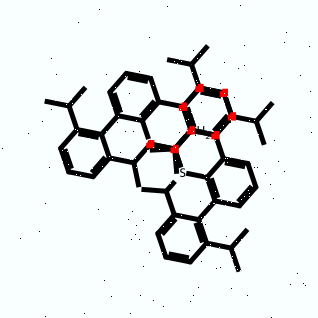 CC(C)c1cccc(C(C)C)c1-c1cccc(-c2c(C(C)C)cccc2C(C)C)c1S[CH]([BiH2])Sc1c(-c2c(C(C)C)cccc2C(C)C)cccc1-c1c(C(C)C)cccc1C(C)C